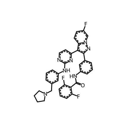 O=C(Nc1cccc(-c2nn3cc(F)ccc3c2-c2ccnc(Nc3cccc(CN4CCCC4)c3)n2)c1)c1c(F)cccc1F